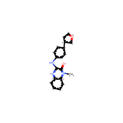 Cn1c(=O)c(Nc2ccc(-c3ccoc3)cc2)nc2ccccc21